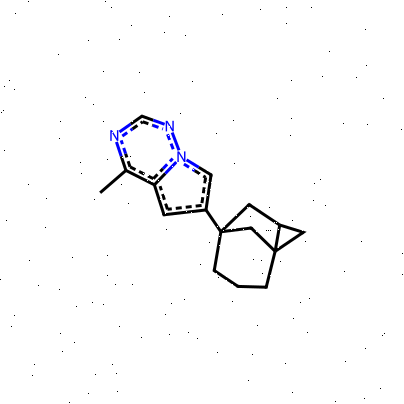 Cc1ncnn2cc(C34CCCC5(CC5C3)C4)cc12